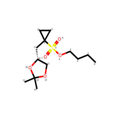 CCCCOS(=O)(=O)C1(C[C@@H]2COC(C)(C)O2)CC1